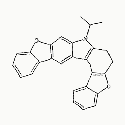 CC(C)n1c2c(c3cc4c(cc31)oc1ccccc14)-c1c(oc3ccccc13)CC2